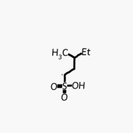 CCC(C)C[CH]S(=O)(=O)O